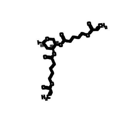 C=CC(=O)OCCCCC(=O)O[C@H]1C[C@H](I)OC[C@H]1OC(=O)CCCCOC(=O)C=C